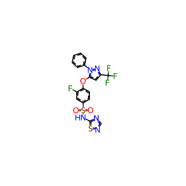 O=S(=O)(Nc1ncns1)c1ccc(Oc2cc(C(F)(F)F)nn2-c2ccccc2)c(F)c1